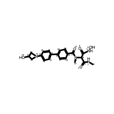 CNC(=O)C(C(=O)NO)N(C)C(=O)c1ccc(-c2ccc(N3CC(O)C3)cc2)cc1